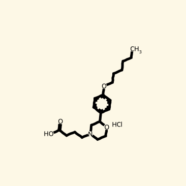 CCCCCCOc1ccc(C2CN(CCCC(=O)O)CCO2)cc1.Cl